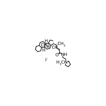 C[C@H](CCC(=O)NCC[N+]1(C)CCCC1)[C@H]1CC[C@H]2[C@@H]3CCC4CCCC[C@]4(C)[C@H]3CC[C@]12C.[I-]